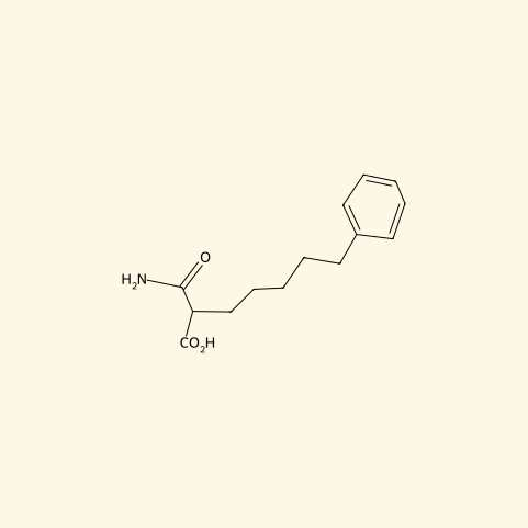 NC(=O)C(CCCCCc1ccccc1)C(=O)O